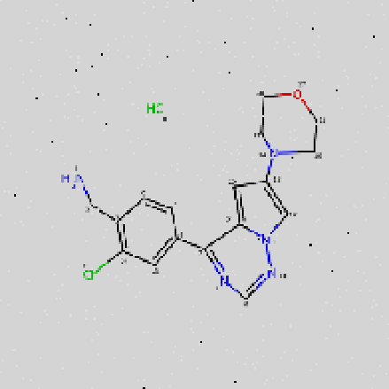 Cl.NCc1ccc(-c2ncnn3cc(N4CCOCC4)cc23)cc1Cl